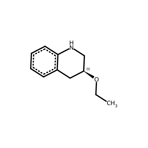 CCO[C@@H]1CNc2ccccc2C1